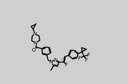 Cc1cc(/C(F)=C/c2ccc(C3(C(F)(F)F)CC3)cc2)nn1Cc1cccc(C(=O)N2CCN(C3CC3)CC2)c1